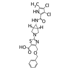 Cc1[nH]c(C(=O)N[C@@H]2[C@@H]3CN(c4nc(COCc5ccccc5)c(C(=O)O)s4)C[C@@H]32)c(Cl)c1Cl